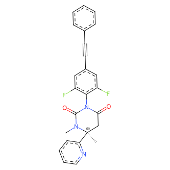 CN1C(=O)N(c2c(F)cc(C#Cc3ccccc3)cc2F)C(=O)C[C@@]1(C)c1ccccn1